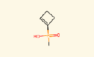 CP(=O)(O)C1=CCC1